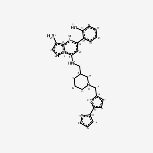 Bc1cnn2c(NCC3CCCN(Cc4ccc(-c5cccs5)s4)C3)cc(-c3ccccc3O)nc12